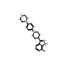 Fc1cccc2c(C3CCN(c4ccc(N5CCOCC5)cc4)CC3)n[nH]c12